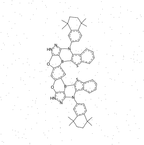 CC1(C)CCC(C)(C)c2cc(N3c4n[nH]c5c4B(c4cc6c(cc4O5)Oc4[nH]nc5c4B6c4sc6ccccc6c4N5c4ccc5c(c4)C(C)(C)CCC5(C)C)c4sc5ccccc5c43)ccc21